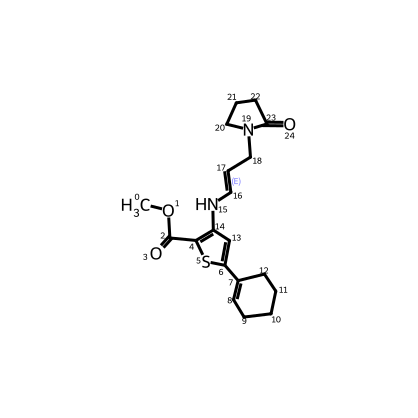 COC(=O)c1sc(C2=CCCCC2)cc1N/C=C/CN1CCCC1=O